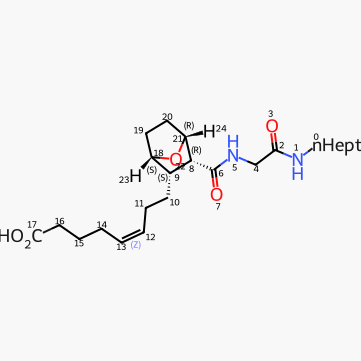 CCCCCCCNC(=O)CNC(=O)[C@@H]1[C@H](CC/C=C\CCCC(=O)O)[C@@H]2CC[C@H]1O2